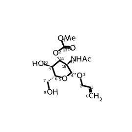 C=CCO[C@@H]1O[C@H](CO)[C@@H](O)[C@H](OC(=O)OC)[C@H]1NC(C)=O